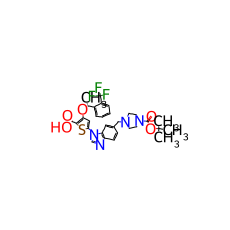 C[C@@H](Oc1cc(-n2cnc3ccc(CN4CCN(C(=O)OC(C)(C)C)CC4)cc32)sc1C(=O)O)c1ccccc1C(F)(F)F